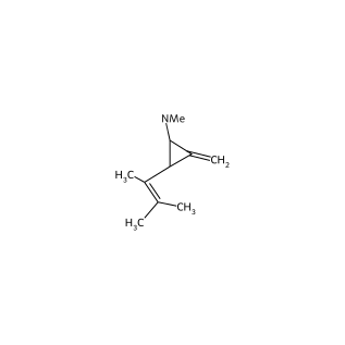 C=C1C(NC)C1C(C)=C(C)C